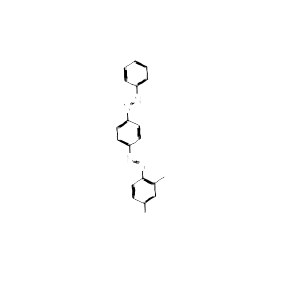 Cc1cc(O)ccc1N=Nc1ccc(N=Nc2ccccc2)cc1